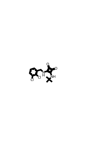 CC(C)(C)Nc1c(NCc2cccc(Cl)c2Cl)c(=O)c1=O